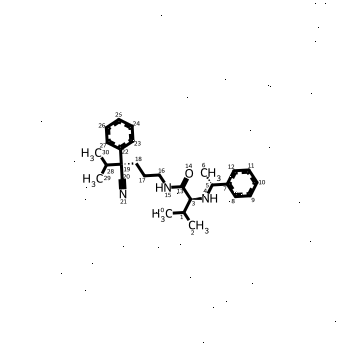 CC(C)[C@H](N[C@H](C)c1ccccc1)C(=O)NCCC[C@@](C#N)(c1ccccc1)C(C)C